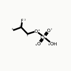 CC(F)COS(=O)(=O)O